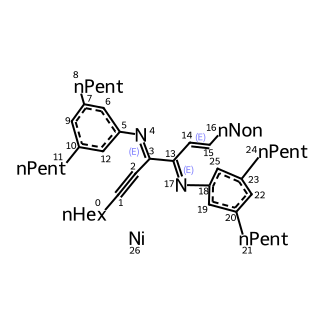 CCCCCCC#CC(=N\c1cc(CCCCC)cc(CCCCC)c1)/C(/C=C/CCCCCCCCC)=N/c1cc(CCCCC)cc(CCCCC)c1.[Ni]